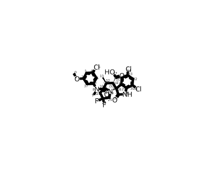 COc1cc(Cl)cc(N(C)C(=O)[C@@H](C)[C@H](C(=O)O)[C@]2(N3CCC(F)(F)C3)C(=O)Nc3c(Cl)cc(Cl)cc32)c1